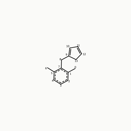 Cc1cccc(C)c1CC1=CC=CC1